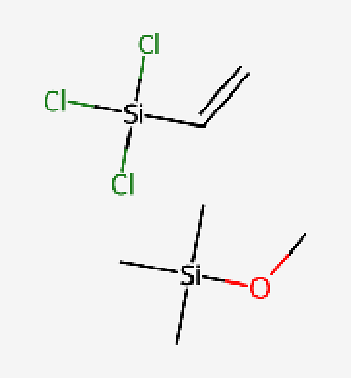 C=C[Si](Cl)(Cl)Cl.CO[Si](C)(C)C